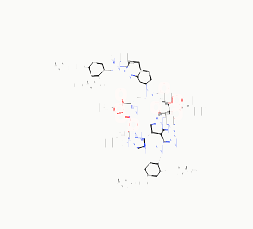 COc1ccc(CNc2ncnc3c2c(-c2ccn(C)n2)cn3[C@@H]2O[C@H](C(=O)N(CC[C@H](NC(=O)OC(C)(C)C)C(=O)OC(C)(C)C)c3ccc4ccc(N(C)Cc5ccc(OC)cc5OC)nc4c3)[C@H]3OC(C)(C)O[C@H]32)c(OC)c1